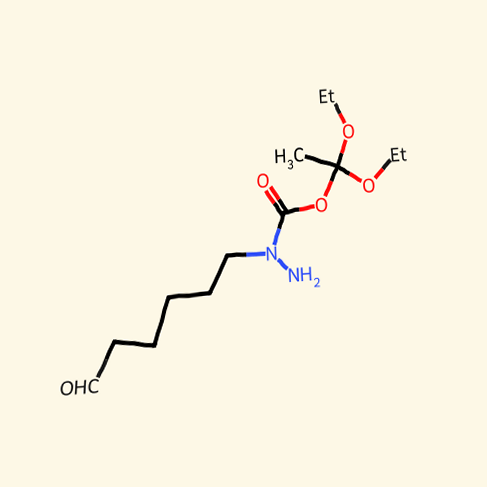 CCOC(C)(OCC)OC(=O)N(N)CCCCCC=O